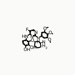 COc1cc(Nc2ncc(F)c(Nc3ccc(O)c(O)c3O[C@@H]3CCC[C@H](N)C3)n2)cc(OC)c1OC